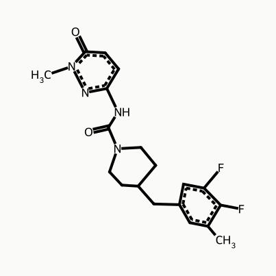 Cc1cc(CC2CCN(C(=O)Nc3ccc(=O)n(C)n3)CC2)cc(F)c1F